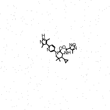 Cc1nonc1C(=O)N[C@@H]1C(=O)N(c2ccc(-c3c(C)n[nH]c3C)nc2)CC(C)(C)C1C1CC1